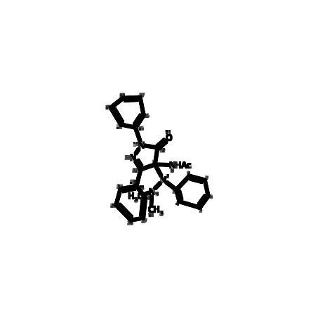 CC(=O)NC1(N(c2ccccc2)N(C)C)C(=O)N(c2ccccc2)N=C1c1ccccc1